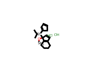 C[C](C)=[Zr]([C]1=CC=CC1)[C]1(O[SiH3])C=CC2=C1CCCC2.Cl.Cl